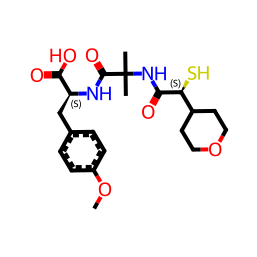 COc1ccc(C[C@H](NC(=O)C(C)(C)NC(=O)[C@@H](S)C2CCOCC2)C(=O)O)cc1